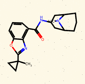 CN1C2CCCC1CC(NC(=O)c1cccc3oc(C4(C)CC4)nc13)C2